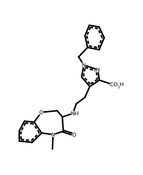 CN1C(=O)C(NCCc2cn(Cc3ccccc3)nc2C(=O)O)COc2ccccc21